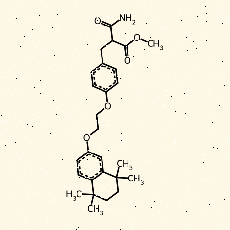 COC(=O)C(Cc1ccc(OCCOc2ccc3c(c2)C(C)(C)CCC3(C)C)cc1)C(N)=O